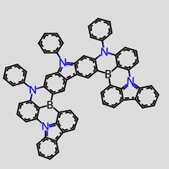 c1ccc(N2c3cc4c(cc3B3c5c2cccc5-n2c5ccccc5c5cccc3c52)c2cc3c(cc2n4-c2ccccc2)N(c2ccccc2)c2cccc4c2B3c2cccc3c5ccccc5n-4c23)cc1